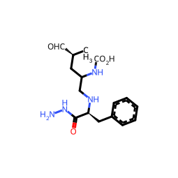 C[C@H](C=O)CC(CN[C@@H](Cc1ccccc1)C(=O)NN)NC(=O)O